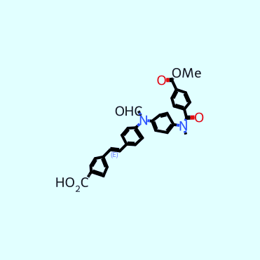 COC(=O)c1ccc(C(=O)N(C)c2ccc(N(C=O)c3ccc(/C=C/c4ccc(C(=O)O)cc4)cc3)cc2)cc1